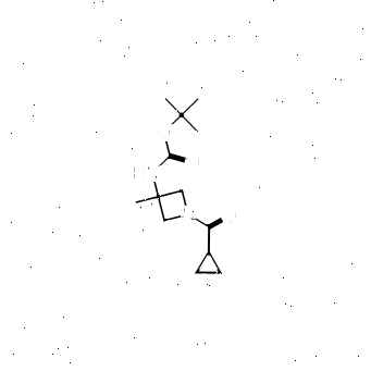 CC1(NC(=O)OC(C)(C)C)CN(C(=O)C2CC2)C1